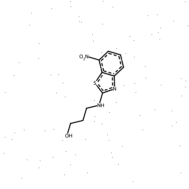 O=[N+]([O-])c1cccc2nc(NCCCO)sc12